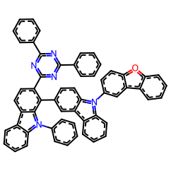 c1ccc(-c2nc(-c3ccccc3)nc(-c3ccc4c5ccccc5n(-c5ccccc5)c4c3-c3ccc4c(c3)c3ccccc3n4-c3ccc4oc5ccccc5c4c3)n2)cc1